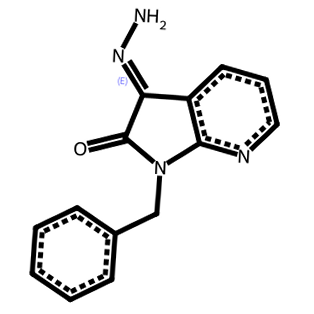 N/N=C1/C(=O)N(Cc2ccccc2)c2ncccc21